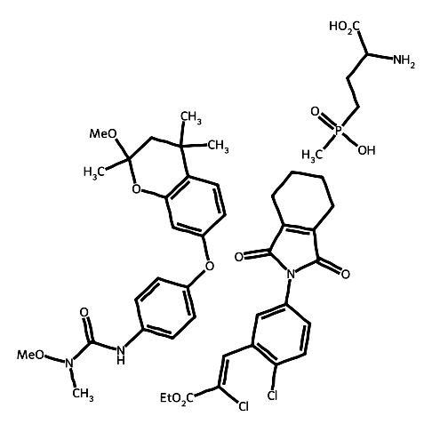 CCOC(=O)/C(Cl)=C/c1cc(N2C(=O)C3=C(CCCC3)C2=O)ccc1Cl.CON(C)C(=O)Nc1ccc(Oc2ccc3c(c2)OC(C)(OC)CC3(C)C)cc1.CP(=O)(O)CCC(N)C(=O)O